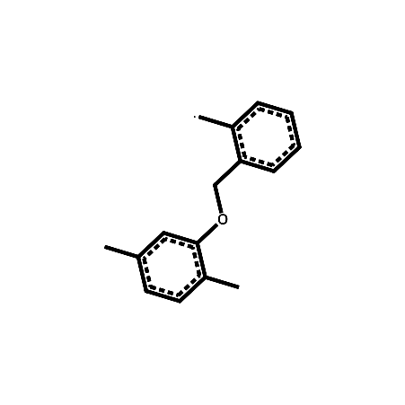 [CH2]c1ccccc1COc1cc(C)ccc1C